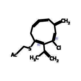 C=C1C=C=CC/C(SCC(C)=O)=C(C(=C)C)\C(Cl)=C/1